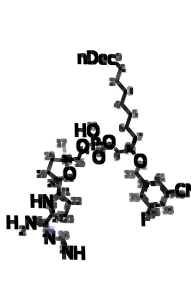 CCCCCCCCCCCCCCCCC[C@H](COP(=O)(O)OC[C@]1(C)CC[C@H](c2ccc(/C(N)=N\C=N)[nH]2)O1)OCc1cc(F)cc(C#N)c1